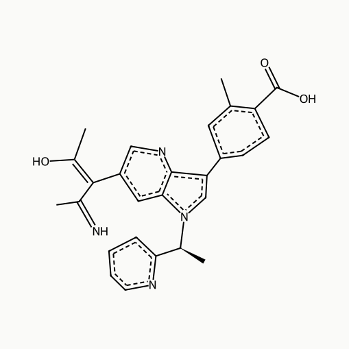 CC(=N)/C(=C(/C)O)c1cnc2c(-c3ccc(C(=O)O)c(C)c3)cn([C@@H](C)c3ccccn3)c2c1